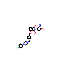 O=C1CCC(N2C(=O)c3cccc(OCc4ccc(CN5CCN(c6ccc(F)cc6)CC5)cc4)c3C2=O)C(=O)N1